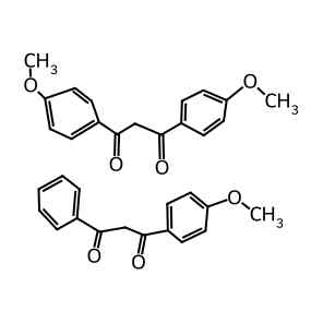 COc1ccc(C(=O)CC(=O)c2ccc(OC)cc2)cc1.COc1ccc(C(=O)CC(=O)c2ccccc2)cc1